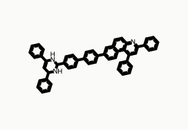 C1=C(c2ccccc2)NC(c2ccc(-c3ccc(-c4ccc5c(ccc6nc(-c7ccccc7)cc(-c7ccccc7)c65)c4)cc3)cc2)NC1c1ccccc1